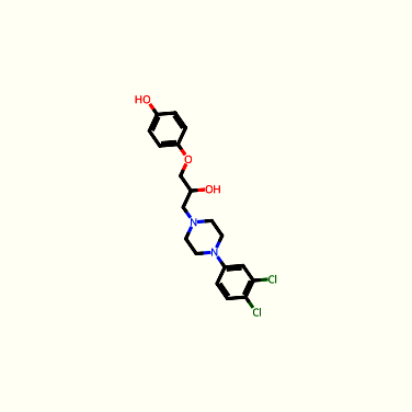 Oc1ccc(OCC(O)CN2CCN(c3ccc(Cl)c(Cl)c3)CC2)cc1